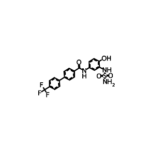 NS(=O)(=O)Nc1cc(NC(=O)c2ccc(-c3ccc(C(F)(F)F)cc3)cc2)ccc1O